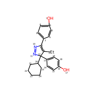 CCC1=C(c2ccc(O)cc2)N=NC1(c1ccc(O)cc1)C1CCCCC1